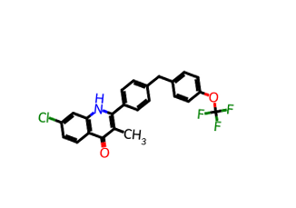 Cc1c(-c2ccc(Cc3ccc(OC(F)(F)F)cc3)cc2)[nH]c2cc(Cl)ccc2c1=O